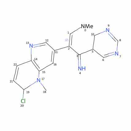 CN/C=C(\C(=N)C1C=NC=NC1)c1cnc2c(c1)N(C)C(Cl)C=C2